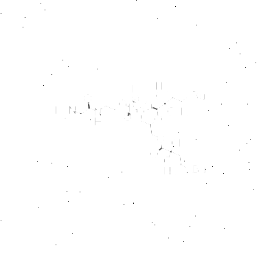 CC(C)(C)CCC(C)(C)C(=O)OCC(COP(=O)(O)OCCNC(=O)CN)OC(=O)C(C)(C)CCC(C)(C)C